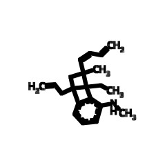 C=C/C=C\C1(C)CC2(CC=C)c3cccc(NC)c3C12CC